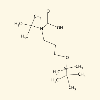 CC(C)(C)N(CCCO[Si](C)(C)C(C)(C)C)C(=O)O